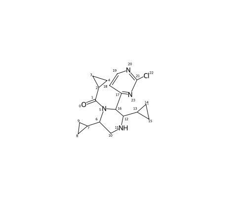 O=C(C1CC1)N1C(C2CC2)CNC(C2[CH]C2)C1c1ccnc(Cl)n1